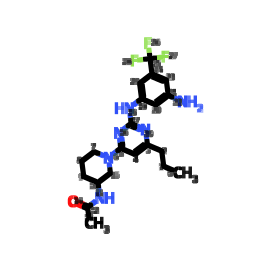 CCCc1cc(N2CCCC(NC(C)=O)C2)nc(Nc2cc(N)cc(C(F)(F)F)c2)n1